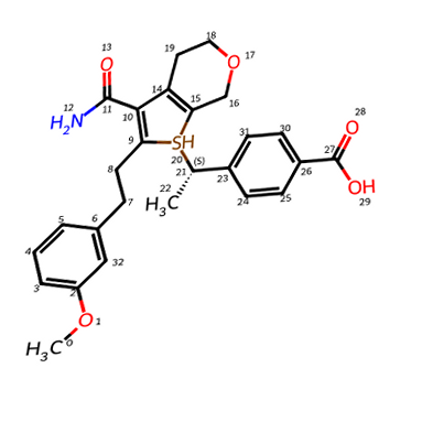 COc1cccc(CCC2=C(C(N)=O)C3=C(COCC3)[SH]2[C@@H](C)c2ccc(C(=O)O)cc2)c1